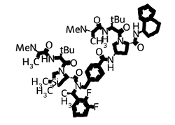 CN[C@@H](C)C(=O)N[C@H](C(=O)N1C[C@@H](NC(=O)c2ccc(CN(C(=O)[C@@H]3C[Si](C)(C)CN3C(=O)[C@@H](NC(=O)[C@H](C)NC)C(C)(C)C)[C@H](C)c3cccc(F)c3F)cc2)C[C@H]1C(=O)N[C@@H]1CCCc2ccccc21)C(C)(C)C